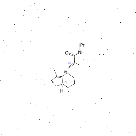 CC1=C2[C@@H](CCC[C@H]2/C=C(\C)C(=O)NC(C)C)CC1